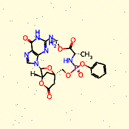 CC(C)OC(=O)[C@H](C)NP(=O)(OC[C@]12CC(=O)O[C@@H](C1)[C@H](n1cnc3c(=O)[nH]c(N)nc31)O2)Oc1ccccc1